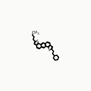 CCCCc1cc2ccc3cc4c(ccc5cc(CCC6CCCCC6)sc54)cc3c2s1